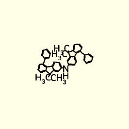 CC1(C)c2cc(Nc3ccc4c(c3)C(C)(C)c3cccc(-c5ccccc5)c3-4)ccc2-c2c(-c3ccccc3)cccc21